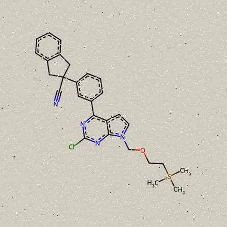 CS(C)(C)CCOCn1ccc2c(-c3cccc(C4(C#N)Cc5ccccc5C4)c3)nc(Cl)nc21